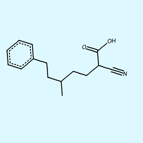 CC(CCc1ccccc1)CCC(C#N)C(=O)O